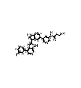 CC(C)CCC(=O)Nc1cncc(-c2cnc3[nH]nc(-c4nc5c(-c6cccc(F)c6)cncc5[nH]4)c3c2)c1